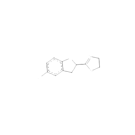 Cc1ccc2c(c1)CC(C1=NCCN1)O2